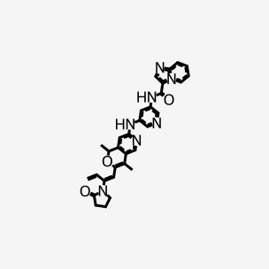 C=C/C(=C\C1=C(C)c2cnc(Nc3cncc(NC(=O)c4cnc5ccccn45)c3)cc2C(C)O1)N1CCCC1=O